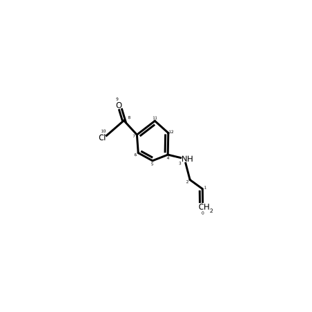 C=CCNc1ccc(C(=O)Cl)cc1